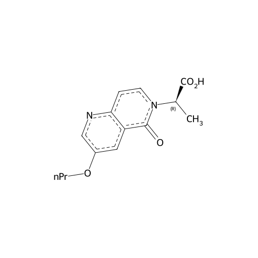 CCCOc1cnc2ccn([C@H](C)C(=O)O)c(=O)c2c1